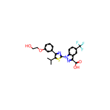 CC(C)c1sc(-n2nc(C(=O)O)c3cc(C(F)(F)F)ccc32)nc1-c1cccc(OCCO)c1